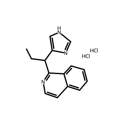 CCC(c1c[nH]cn1)c1nccc2ccccc12.Cl.Cl